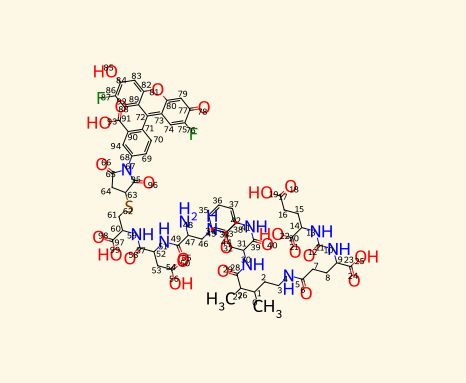 CC(CCNC(=O)CCC(NC(=O)NC(CCC(=O)O)C(=O)O)C(=O)O)C(C)C(=O)NC(Cc1ccccc1)C(=O)NCC(=O)NCC(N)C(=O)NC(CC(=O)O)C(=O)NC(CSC1CC(=O)N(c2ccc(-c3c4cc(F)c(=O)cc-4oc4cc(O)c(F)cc34)c(C(=O)O)c2)C1=O)C(=O)O